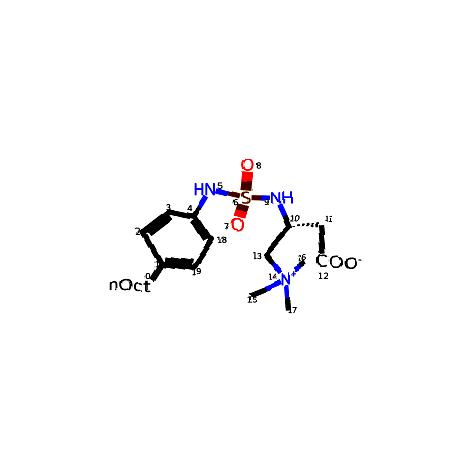 CCCCCCCCc1ccc(NS(=O)(=O)N[C@H](CC(=O)[O-])C[N+](C)(C)C)cc1